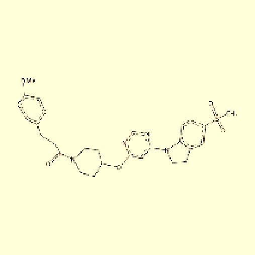 COc1ccc(CCC(=O)N2CCC(Oc3cc(N4CCc5cc(S(C)(=O)=O)ccc54)ncn3)CC2)cc1